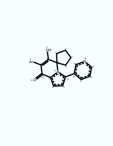 CC(=O)C1=C(O)C2(CCCC2)n2c(ccc2-c2cccnc2)C1=O